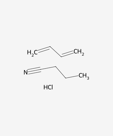 C=CC=C.CCCC#N.Cl